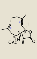 C=C1C(=O)O[C@@H]2/C=C(\C)CC/C=C(\C)C[C@@H](OC(C)=O)[C@@H]12